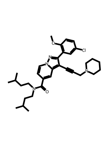 COc1ccc(Cl)cc1-c1nn2ccc(C(=O)N(CCC(C)C)CCC(C)C)cc2c1C#CCN1CCCCC1